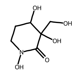 O=C1N(O)CCC(O)C1(O)CO